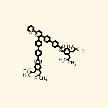 CC(C)Cc1cc2nc(-c3ccc(-c4ccc(-c5ccc(-c6ccccn6)nc5-c5ccc(-c6ccc(-c7nc8cc(CC(C)C)c(CC(C)C)cc8o7)cc6)cc5)cc4)cc3)oc2cc1CC(C)C